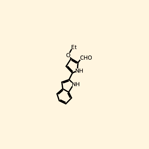 CCOc1cc(-c2cc3ccccc3[nH]2)[nH]c1C=O